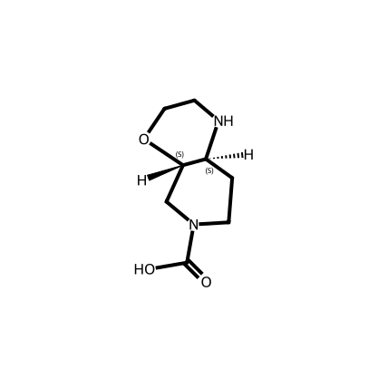 O=C(O)N1CC[C@@H]2NCCO[C@H]2C1